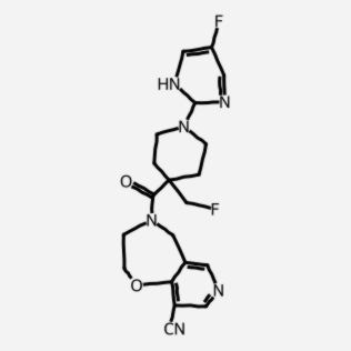 N#Cc1cncc2c1OCCN(C(=O)C1(CF)CCN(C3N=CC(F)=CN3)CC1)C2